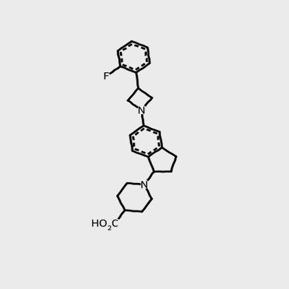 O=C(O)C1CCN(C2CCc3cc(N4CC(c5ccccc5F)C4)ccc32)CC1